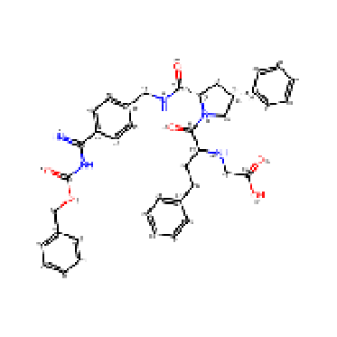 N=C(NC(=O)OCc1ccccc1)c1ccc(CNC(=O)[C@@H]2C[C@H](c3ccccc3)CN2C(=O)C(CCc2ccccc2)NCC(=O)O)cc1